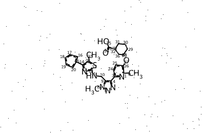 Cc1nc(-c2nnn(C)c2CNc2nc(-c3ccccc3)c(C)s2)ccc1O[C@H]1CCC[C@H](C(=O)O)C1